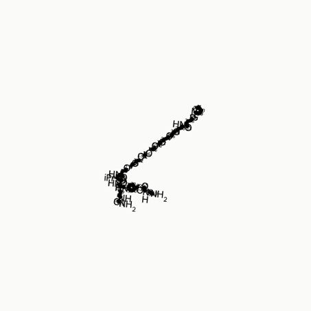 CC(C)[C@H](NC(=O)CCOCCOCCOCCOCCOCCOCCOCCOCCNC(=O)CCSSc1ccccn1)C(=O)N[C@@H](CCCNC(N)=O)C(=O)Nc1ccc(COC(=O)NCCN)cc1